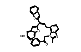 Br.Cc1nc2cccc(CC=C(c3cc4ccccc4o3)c3cc4ccccc4o3)c2n1CC(=O)c1ccccc1